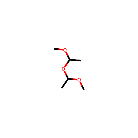 COC(C)OC(C)OC